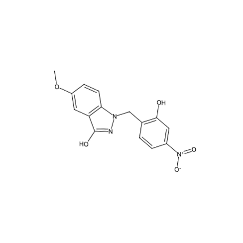 COc1ccc2c(c1)c(O)nn2Cc1ccc([N+](=O)[O-])cc1O